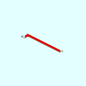 CCCOS(=S)(=S)SSSSSSSSSSSSSSSSSSSSSSSSSSSSSSSSSSSSSSSSSSSSSSSSSSSSSSSSSSSSS